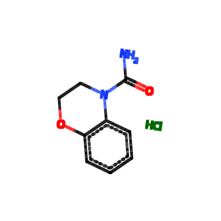 Cl.NC(=O)N1CCOc2ccccc21